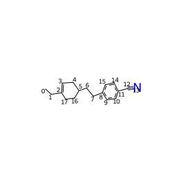 CCC1=CCC(CCc2ccc(C#N)cc2)CC1